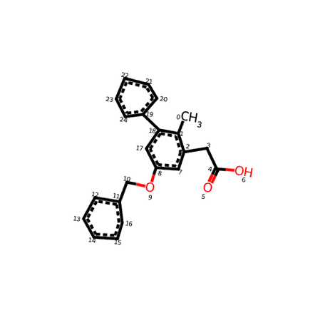 Cc1c(CC(=O)O)cc(OCc2ccccc2)cc1-c1ccccc1